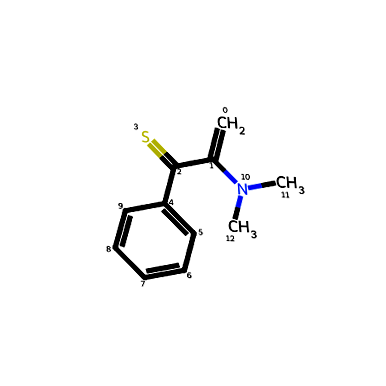 C=C(C(=S)c1ccccc1)N(C)C